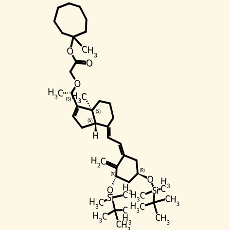 C=C1C(=CC=C2CCC[C@]3(C)C([C@H](C)OCC(=O)OC4(C)CCCCCCC4)=CC[C@@H]23)C[C@@H](O[Si](C)(C)C(C)(C)C)C[C@@H]1O[Si](C)(C)C(C)(C)C